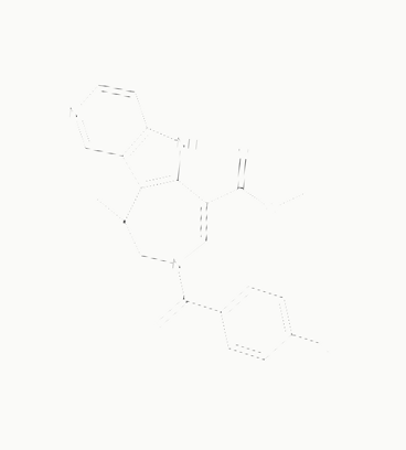 C=C(c1ccc(Cl)cc1)N1C=C(C(=O)OC)c2[nH]c3ccncc3c2C(C)(C)C1